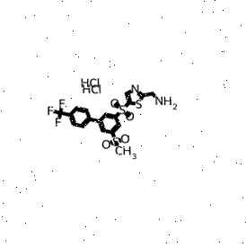 CS(=O)(=O)c1cc(-c2ccc(C(F)(F)F)cc2)cc(S(=O)(=O)c2cnc(CN)s2)c1.Cl.Cl